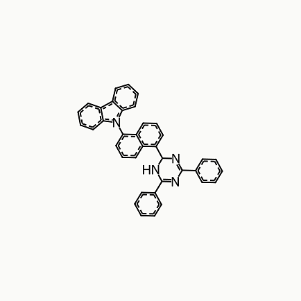 c1ccc(C2=NC(c3cccc4c(-n5c6ccccc6c6ccccc65)cccc34)NC(c3ccccc3)=N2)cc1